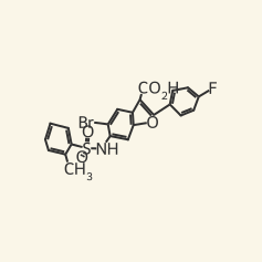 Cc1ccccc1S(=O)(=O)Nc1cc2oc(-c3ccc(F)cc3)c(C(=O)O)c2cc1Br